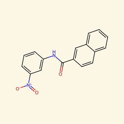 O=C(Nc1cccc([N+](=O)[O-])c1)c1ccc2ccccc2c1